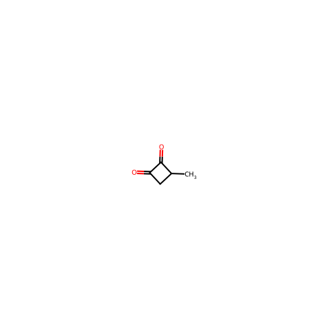 CC1CC(=O)C1=O